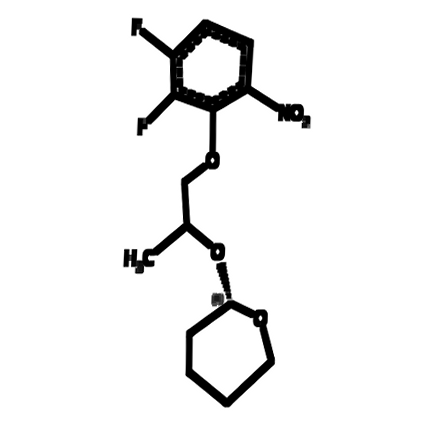 CC(COc1c([N+](=O)[O-])ccc(F)c1F)O[C@H]1CCCCO1